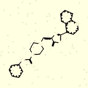 N=C(Nc1ccccc1)N1CCN(/C=C2/N=C(c3ccnc4ccccc34)OC2=O)CC1